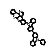 c1ccc(-n2c3ccccc3c3cc(-c4ccc5c(c4)c4ccccc4n5-c4ccc5nc6c7c(nccc7c5c4)-c4ccccc4S6)ccc32)cc1